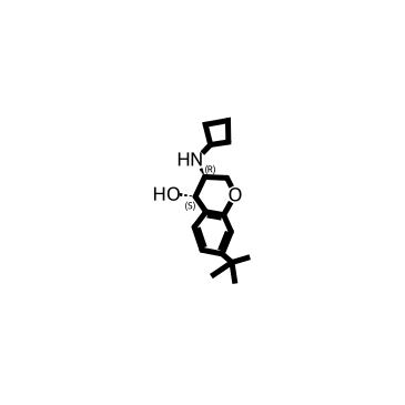 CC(C)(C)c1ccc2c(c1)OC[C@@H](NC1CCC1)[C@H]2O